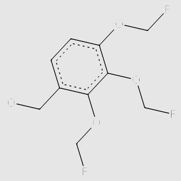 [O]Cc1ccc(OCF)c(OCF)c1OCF